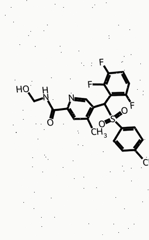 Cc1cc(C(=O)NCO)ncc1C(c1c(F)ccc(F)c1F)S(=O)(=O)c1ccc(C(F)(F)F)cc1